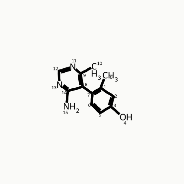 Cc1cc(O)ccc1-c1c(C)ncnc1N